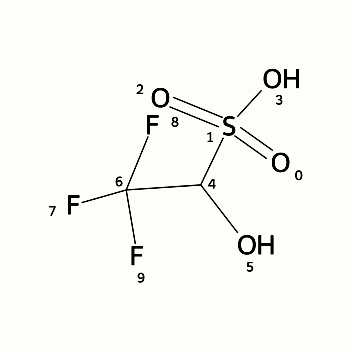 O=S(=O)(O)C(O)C(F)(F)F